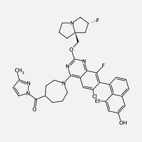 CCc1cc(O)cc2cccc(-c3c(Cl)cc4c(N5CCCC(C(=O)n6ccc(C)n6)CC5)nc(OC[C@@]56CCCN5C[C@H](F)C6)nc4c3F)c12